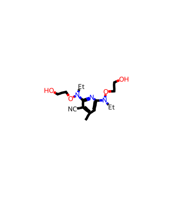 CCN(OCCO)c1cc(C)c(C#N)c(N(CC)OCCO)n1